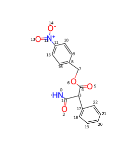 [NH]C(=O)C(C(=O)OCc1ccc([N+](=O)[O-])cc1)c1ccccc1